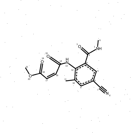 CNC(=O)c1cc(C#N)cc(C)c1NC(=O)/C=C\C(=O)OC